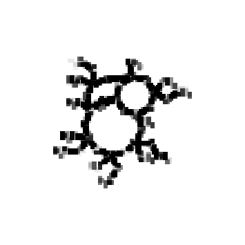 CO[Si]1(C)O[Si](C)(OC)O[Si]2(C)O[Si](C)(OC)O[Si]3(C)O[Si](C)(OC)O[Si](C)(O[Si](C)(OC)O1)O[Si](C)(O2)O3